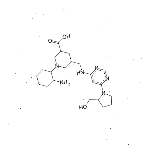 NC1CCCCC1N1CC(CNc2cc(N3CCCC3CO)ncn2)CC(C(=O)O)C1